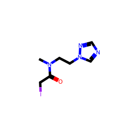 CN(CCn1cncn1)C(=O)CI